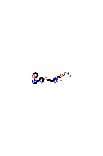 CCOC(=O)Cn1cc(CCCOc2ccc(-c3ccnn3C3CCCCO3)nc2)nn1